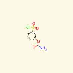 NC(=O)Oc1cccc(S(=O)(=O)Cl)c1